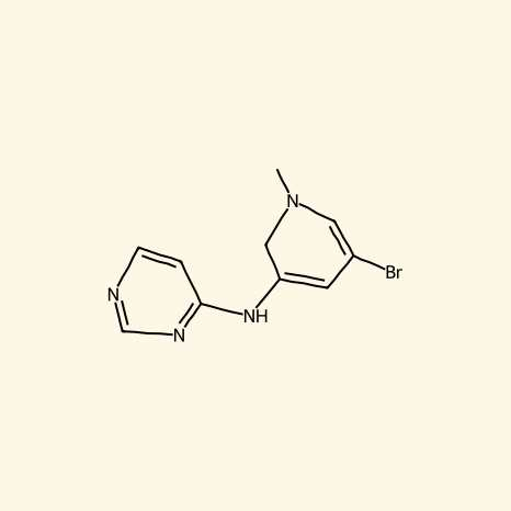 CN1C=C(Br)C=C(Nc2ccncn2)C1